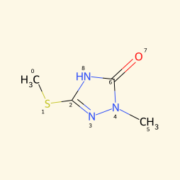 CSc1nn(C)c(=O)[nH]1